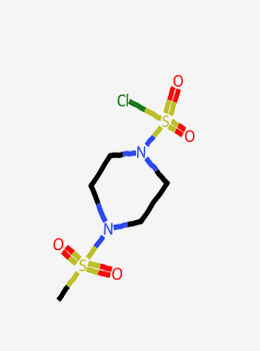 CS(=O)(=O)N1CCN(S(=O)(=O)Cl)CC1